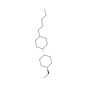 CCCCCC1CCC([C@H]2CC[C@H](CC)CC2)CC1